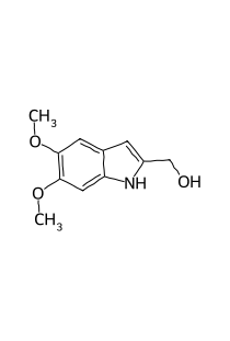 COc1cc2cc(CO)[nH]c2cc1OC